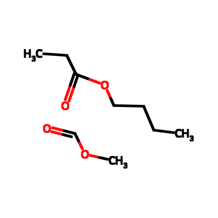 CCCCOC(=O)CC.COC=O